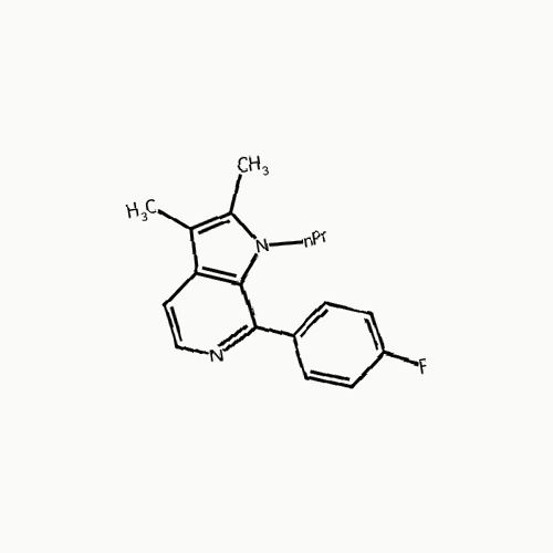 CCCn1c(C)c(C)c2ccnc(-c3ccc(F)cc3)c21